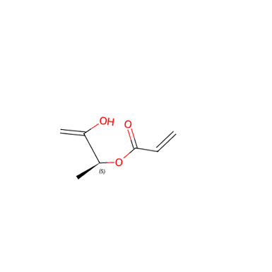 C=CC(=O)O[C@@H](C)C(=C)O